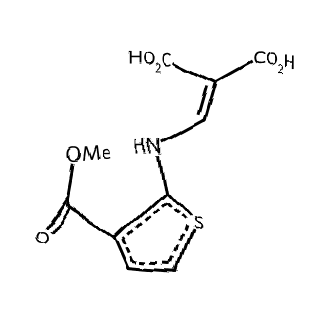 COC(=O)c1ccsc1NC=C(C(=O)O)C(=O)O